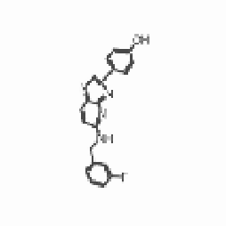 Oc1ccc(-c2cnc3ccc(NCc4cccc(F)c4)nc3n2)cc1